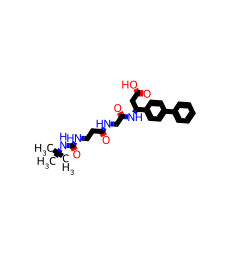 CC(C)(C)NC(=O)NCCC(=O)NCC(=O)NC(CC(=O)O)c1ccc(-c2ccccc2)cc1